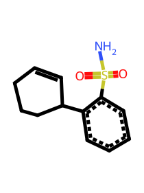 NS(=O)(=O)c1ccccc1C1C=CCCC1